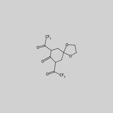 O=C1C(C(=O)C(F)(F)F)CC2(CC1C(=O)C(F)(F)F)OCCO2